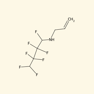 C=CCNC(F)C(F)(F)C(F)(F)C(F)F